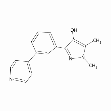 Cc1c(O)c(-c2cccc(-c3ccncc3)c2)nn1C